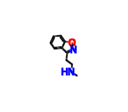 CNCCc1noc2ccccc12